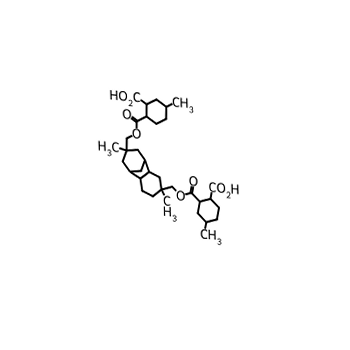 CC1CCC(C(=O)OCC2(C)CC3CC(C2)C2CC(C)(COC(=O)C4CC(C)CCC4C(=O)O)CCC32)C(C(=O)O)C1